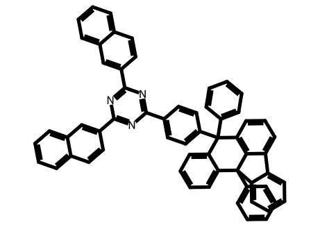 c1ccc(C2(c3ccc(-c4nc(-c5ccc6ccccc6c5)nc(-c5ccc6ccccc6c5)n4)cc3)c3ccccc3C3(c4ccccc4)c4ccccc4-c4cccc2c43)cc1